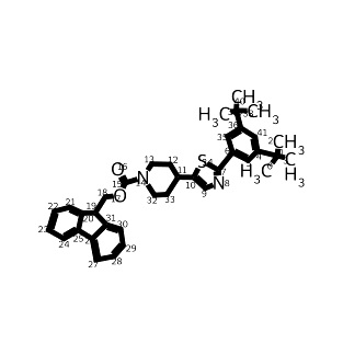 CC(C)(C)c1cc(-c2ncc(C3CCN(C(=O)OCC4c5ccccc5-c5ccccc54)CC3)s2)cc(C(C)(C)C)c1